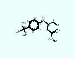 CC[C@@H](CC(=O)OC)Nc1ccc(C(F)(F)F)cc1